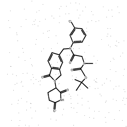 CN(CC(=O)N(Cc1ccc2c(c1)CN(C1CCC(=O)NC1=O)C2=O)c1cccc(Cl)c1)C(=O)OC(C)(C)C